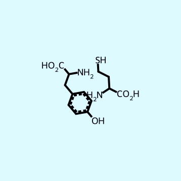 NC(CCS)C(=O)O.NC(Cc1ccc(O)cc1)C(=O)O